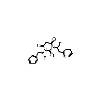 O=C1CC(=O)N([C@@H](F)Cc2ccccc2)C(=O)N1[C@H](F)Cc1ccccc1